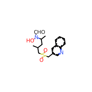 CC(CC(C)N(O)C=O)CS(=O)(=O)Cc1cnc2ccccc2c1